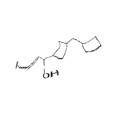 OC(C=CI)C1CC(CC2CCC2)C1